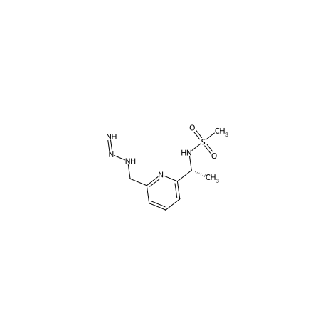 C[C@@H](NS(C)(=O)=O)c1cccc(CNN=N)n1